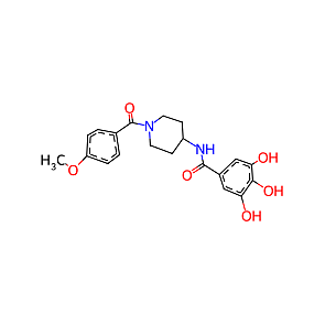 COc1ccc(C(=O)N2CCC(NC(=O)c3cc(O)c(O)c(O)c3)CC2)cc1